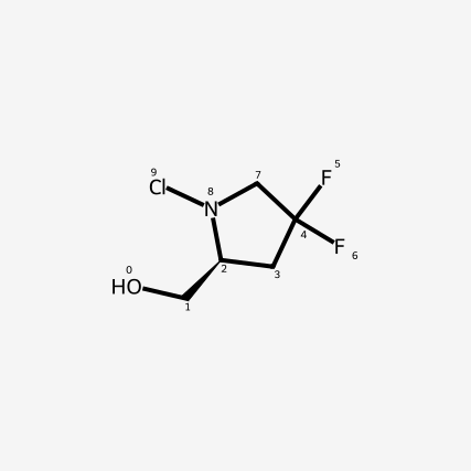 OC[C@@H]1CC(F)(F)CN1Cl